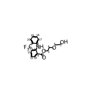 O=C(OCCOCCO)c1ccccc1Nc1ccccc1C(F)(F)F